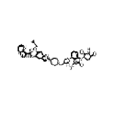 Cn1c(=O)n(C2CCC(=O)NC2=O)c2cccc(N3CC(CN4CCC(n5cc6cc(NC(=O)c7cnn8cccnc78)c(OCC7CC7)cc6n5)CC4)C3)c21